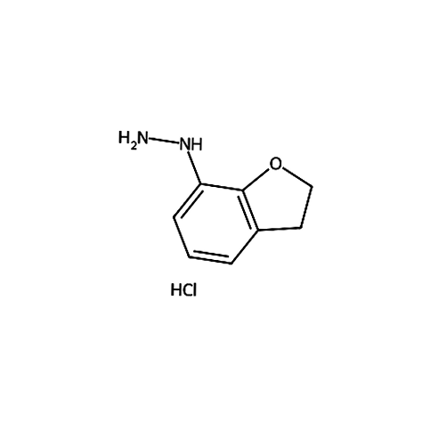 Cl.NNc1cccc2c1OCC2